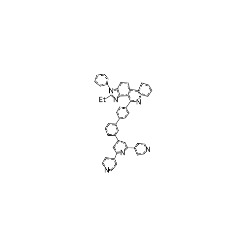 CCc1nc2c3c(-c4ccc(-c5cccc(-c6cc(-c7ccncc7)nc(-c7ccncc7)c6)c5)cc4)nc4ccccc4c3ccc2n1-c1ccccc1